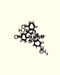 COc1ccc(S(=O)(=O)N2C(=O)C(N)(c3ccccc3Cl)c3cc(Cl)ccc32)c([N+](=O)[O-])c1